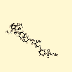 CNS(=O)(=O)c1cccc(OC[C@@H](O)CNC2COC3(CCN(S(=O)(=O)c4c(C)noc4C)CC3)C2)c1